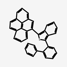 c1ccc(-c2ccccc2-c2sc(-c3cc4cccc5ccc6cccc3c6c54)c3ccccc23)cc1